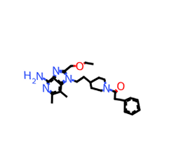 CCOCc1nc2c(N)nc(C)c(C)c2n1CCC1CCN(C(=O)Cc2ccccc2)CC1